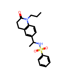 CCCN1C(=O)CCc2cc(C(C)NS(=O)(=O)c3ccccc3)ccc21